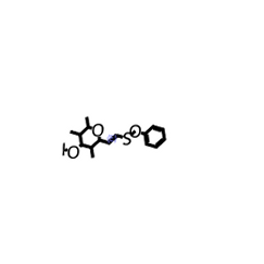 CC1OC(/C=C/SOc2ccccc2)C(C)C(OI)C1C